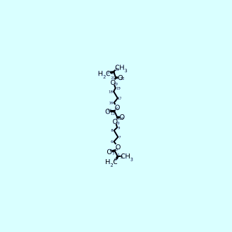 C=C(C)C(=O)OCCCCOC(=O)C(=O)OCCCCOC(=O)C(=C)C